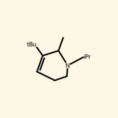 CC(C)N1CCC=C(C(C)(C)C)C1C